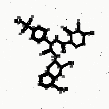 CCN1CCN(C(=O)NC(C(=O)N[C@H]2Cc3cccc(C(=O)O)c3OB2O)c2ccc(S(C)(=O)=O)cc2)C(=O)C1=O